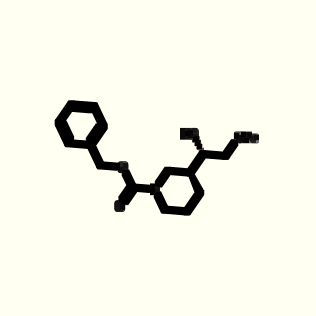 CSC[C@@H](O)[C@H]1CCCN(C(=O)OCc2ccccc2)C1